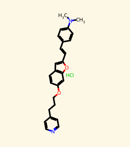 CN(C)c1ccc(/C=C/c2cc3ccc(OCCCc4ccncc4)cc3o2)cc1.Cl